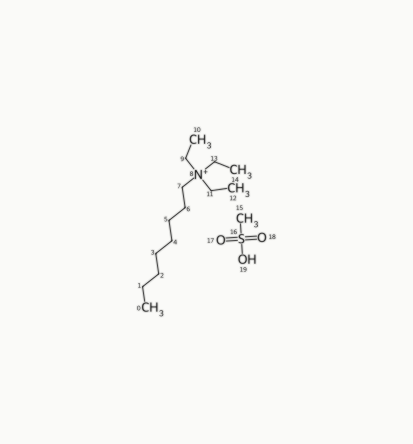 CCCCCCCC[N+](CC)(CC)CC.CS(=O)(=O)O